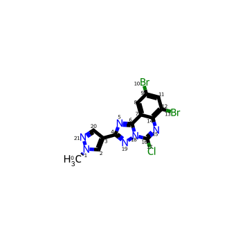 Cn1cc(-c2nc3c4cc(Br)cc(Br)c4nc(Cl)n3n2)cn1